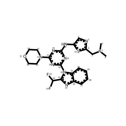 CN(C)Cc1ncc(Nc2nc(N3CCOCC3)nc(-n3c(C(F)F)nc4ccccc43)n2)s1